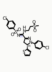 CS(=O)(=O)CCN/C(=N\S(=O)(=O)c1ccc(Cl)cc1)C1=NN(c2ccc(Cl)cc2)[C@@H](c2cccs2)C1